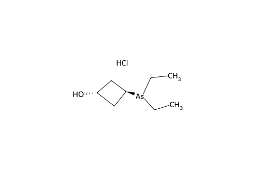 CC[As](CC)[C@H]1C[C@H](O)C1.Cl